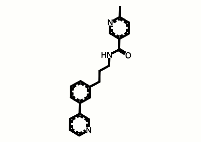 Cc1ccc(C(=O)NCCCc2cccc(-c3cccnc3)c2)cn1